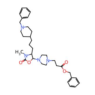 CN1C(=O)OC(N2CCN(CCC(=O)OCc3ccccc3)CC2)C1CCCC1CCN(Cc2ccccc2)CC1